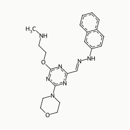 CNCCOc1nc(C=NNc2ccc3ccccc3c2)nc(N2CCOCC2)n1